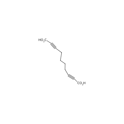 O=C(O)C#CCCCCC#CC(=O)O